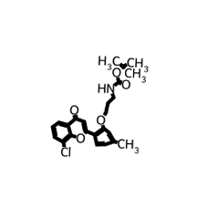 Cc1ccc(-c2cc(=O)c3cccc(Cl)c3o2)c(OCCCNC(=O)OC(C)(C)C)c1